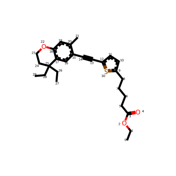 CCOC(=O)CCCCc1ccc(C#Cc2cc3c(cc2C)OCCC3(CC)CC)s1